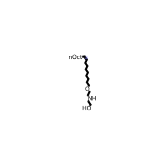 CCCCCCCC/C=C\CCCCCCCCOCCNCCO